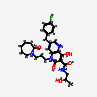 CCC(O)CNC(=O)c1c(O)c2ncc(Cc3ccc(F)cc3)cc2n(CCCN2CCCCCC2=O)c1=O